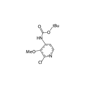 COc1c(NC(=O)OC(C)(C)C)ccnc1Cl